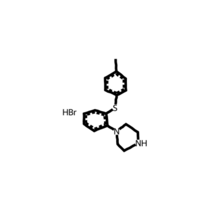 Br.Cc1ccc(Sc2ccccc2N2CCNCC2)cc1